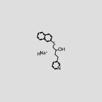 OC(CCc1cccnc1)CSc1ccc2ccccc2c1.[H-].[Na+]